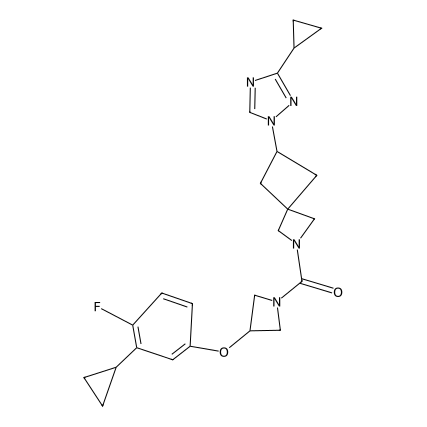 O=C(N1CC(Oc2ccc(F)c(C3CC3)c2)C1)N1CC2(CC(n3cnc(C4CC4)n3)C2)C1